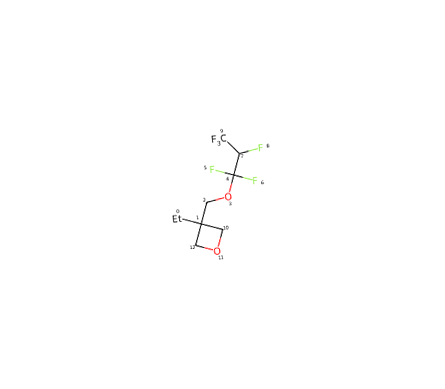 CCC1(COC(F)(F)C(F)C(F)(F)F)COC1